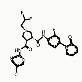 O=C(Nc1ncc(Cl)cn1)[C@H]1CN(CC(F)F)C[C@@H]1C(=O)Nc1ccc(-n2ccccc2=O)cc1F